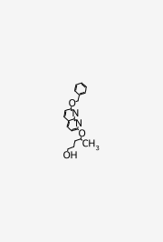 CC(CCCO)Oc1ccc2ccc(OCc3ccccc3)nc2n1